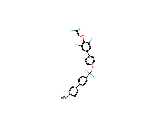 CCCc1ccc(-c2ccc(C(F)(F)Oc3ccc(-c4cc(F)c(OC=C(F)F)c(F)c4)cc3)cc2)cc1